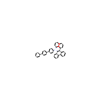 c1ccc(-c2ccc(-c3ccc(N(c4ccccc4)c4c(-c5ccccc5)c5ccccc5c5ccccc45)cc3)cc2)cc1